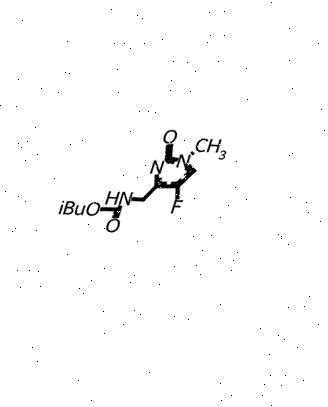 CC(C)COC(=O)NCc1nc(=O)n(C)cc1F